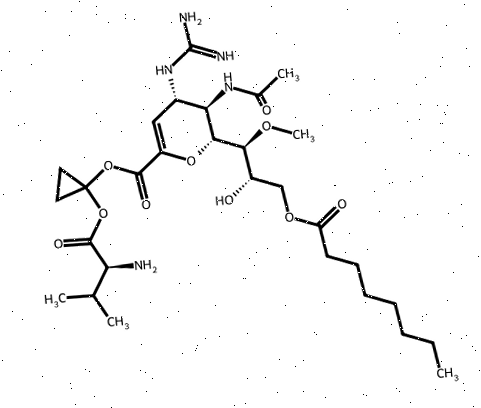 CCCCCCCC(=O)OC[C@H](O)[C@H](OC)[C@@H]1OC(C(=O)OC2(OC(=O)[C@@H](N)C(C)C)CC2)=C[C@H](NC(=N)N)[C@H]1NC(C)=O